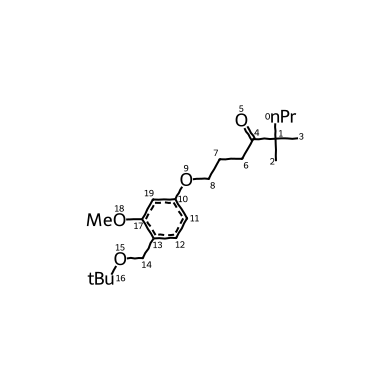 CCCC(C)(C)C(=O)CCCOc1ccc(COC(C)(C)C)c(OC)c1